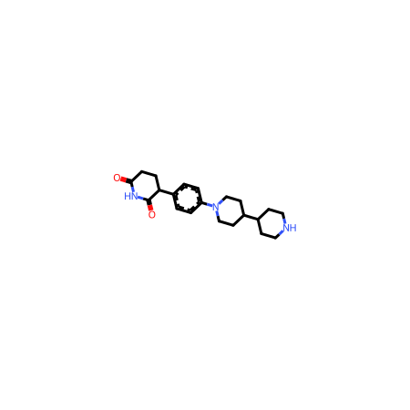 O=C1CCC(c2ccc(N3CCC(C4CCNCC4)CC3)cc2)C(=O)N1